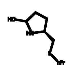 CCCSC[C@@H]1CCC(O)N1